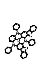 c1ccc(N2c3cccc4c3B3c5c2cc2c(oc6ccccc62)c5N(c2ccccc2)c2c3c(cc3c2oc2ccccc23)N4c2ccccc2)cc1